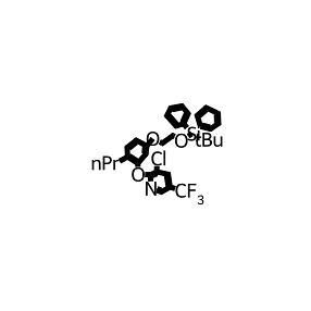 [CH2]CCc1ccc(OCCO[Si](c2ccccc2)(c2ccccc2)C(C)(C)C)cc1Oc1ncc(C(F)(F)F)cc1Cl